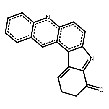 O=C1CCC=C2C1=Nc1ccc3nc4ccccc4cc3c12